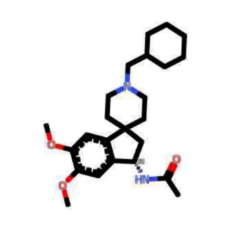 COc1cc2c(cc1OC)C1(CCN(CC3CCCCC3)CC1)C[C@@H]2NC(C)=O